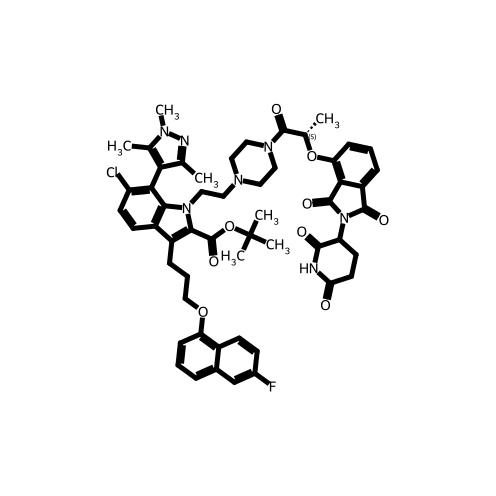 Cc1nn(C)c(C)c1-c1c(Cl)ccc2c(CCCOc3cccc4cc(F)ccc34)c(C(=O)OC(C)(C)C)n(CCN3CCN(C(=O)[C@H](C)Oc4cccc5c4C(=O)N(C4CCC(=O)NC4=O)C5=O)CC3)c12